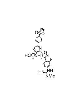 CNC(=N)Nc1ccc(-c2cc(-c3nc(-c4ccc(S(=O)(=O)C(C)C)cc4)cnc3N)on2)c(F)c1.Cl.Cl